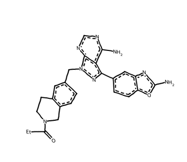 CCC(=O)N1CCc2cc(Cn3nc(-c4ccc5oc(N)nc5c4)c4c(N)ncnc43)ccc2C1